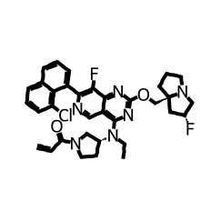 C=CC(=O)N1CC[C@@H](N(CC)c2nc(OC[C@@]34CCCN3C[C@H](F)C4)nc3c(F)c(-c4cccc5cccc(Cl)c45)ncc23)C1